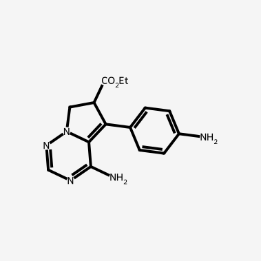 CCOC(=O)C1CN2N=CN=C(N)C2=C1c1ccc(N)cc1